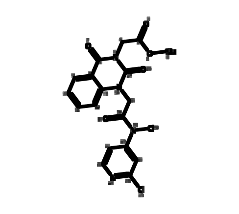 CC(C)(C)OC(=O)Cn1c(=O)c2ccccc2n(CC(=O)N(Cl)c2ccnc(Cl)c2)c1=O